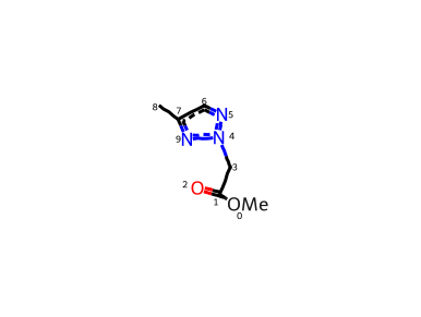 COC(=O)Cn1ncc(C)n1